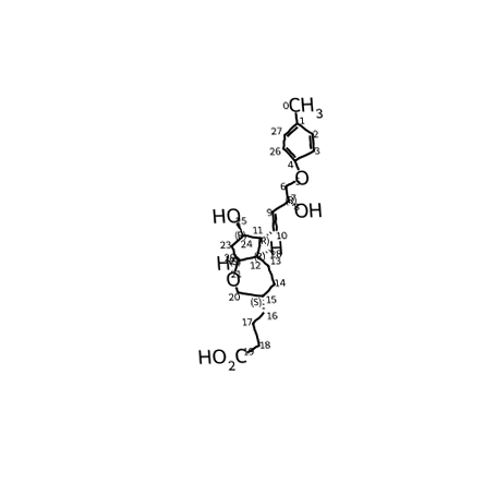 Cc1ccc(OC[C@H](O)C=C[C@@H]2[C@H]3CC[C@H](CCCC(=O)O)CO[C@H]3C[C@H]2O)cc1